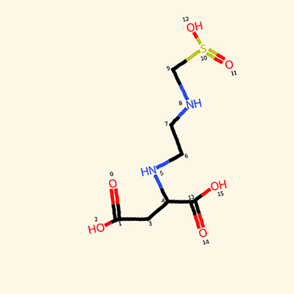 O=C(O)CC(NCCNCS(=O)O)C(=O)O